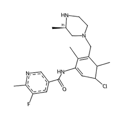 CC1=C(CN2CCN[C@H](C)C2)C(C)C(Cl)C=C1NC(=O)c1cnc(C)c(F)c1